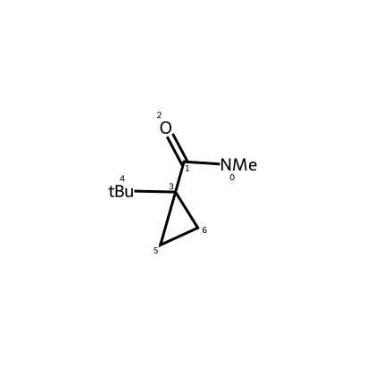 CNC(=O)C1(C(C)(C)C)CC1